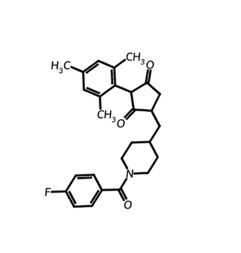 Cc1cc(C)c(C2C(=O)CC(CC3CCN(C(=O)c4ccc(F)cc4)CC3)C2=O)c(C)c1